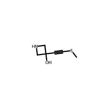 CSC#CC1(O)CNC1